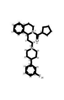 O=C(C1CCCC1)N1CCc2ccccc2C1CCN1CCC(c2cccc(F)c2)CC1